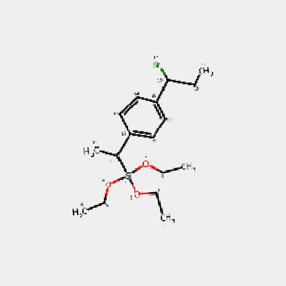 CCO[Si](OCC)(OCC)C(C)c1ccc(C(Br)CC)cc1